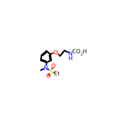 CCS(=O)(=O)N(C)c1cccc(OCCNC(=O)O)c1